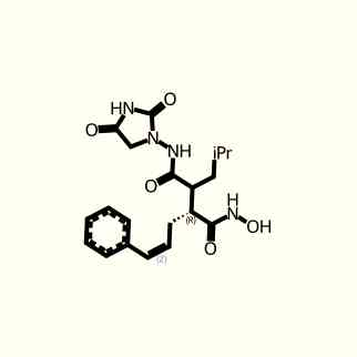 CC(C)CC(C(=O)NN1CC(=O)NC1=O)[C@@H](C/C=C\c1ccccc1)C(=O)NO